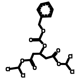 O=C(CC(CC(=O)OC(Cl)Cl)OC(=O)OCc1ccccc1)OC(Cl)Cl